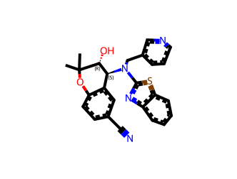 CC1(C)Oc2ccc(C#N)cc2[C@H](N(Cc2cccnc2)c2nc3ccccc3s2)[C@H]1O